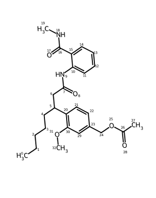 CCCCCC(CC(=O)Nc1ccccc1C(=O)NC)c1ccc(COC(C)=O)cc1OC